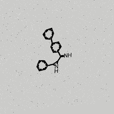 N=C(c1ccc(-c2ccccc2)cc1)C1NC1c1ccccc1